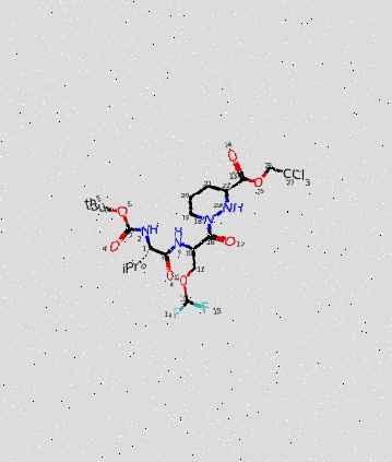 CC(C)[C@H](NC(=O)OC(C)(C)C)C(=O)NC(COC(F)F)C(=O)N1CCC[C@@H](C(=O)OCC(Cl)(Cl)Cl)N1